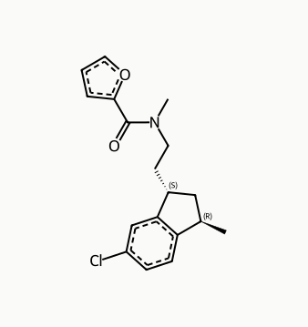 C[C@@H]1C[C@@H](CCN(C)C(=O)c2ccco2)c2cc(Cl)ccc21